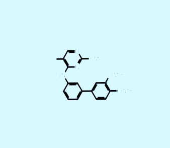 CCOC(=O)c1cnc(SC)nc1Nc1cccc(-c2ccc(OC)c(OC)c2)c1